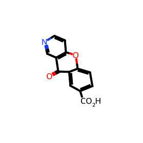 O=C(O)c1ccc2oc3ccncc3c(=O)c2c1